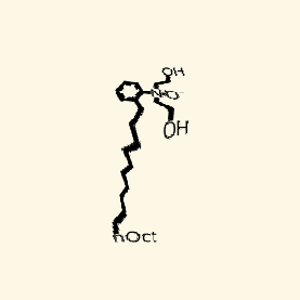 CCCCCCCCC=CCCCCCCCCc1ccccc1[N+]([O-])(CCO)CCO